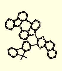 CC1(C)c2ccccc2-c2ccc(-c3nc4c(ccc5ccccc54)nc3-n3c4cccc5c6cccc7c8ccccc8n(c8cccc3c8c54)c67)cc21